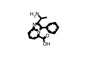 CC(N)c1nc2cccc(C(=O)O)n2c1-c1ccccc1